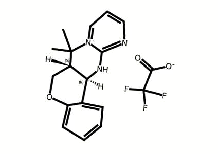 CC1(C)[C@H]2COc3ccccc3[C@@H]2Nc2nccc[n+]21.O=C([O-])C(F)(F)F